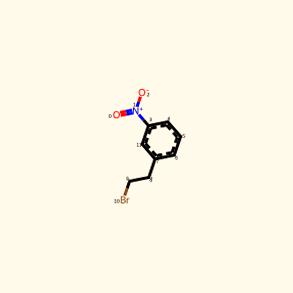 O=[N+]([O-])c1cccc([CH]CBr)c1